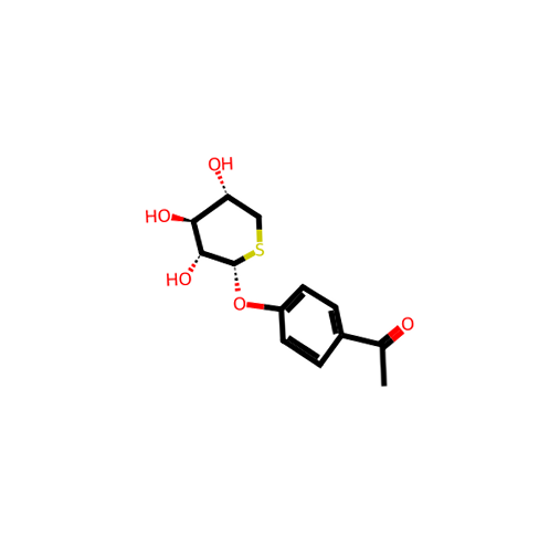 CC(=O)c1ccc(O[C@H]2SC[C@@H](O)[C@H](O)[C@H]2O)cc1